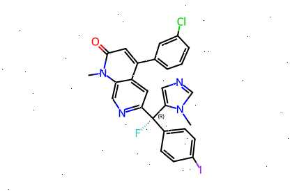 Cn1cncc1[C@@](F)(c1ccc(I)cc1)c1cc2c(-c3cccc(Cl)c3)cc(=O)n(C)c2cn1